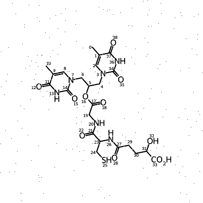 Cc1cn(CC(Cn2cc(C)c(=O)[nH]c2=O)OC(=O)CNC(=O)C(CS)NC(=O)CCC(O)C(=O)O)c(=O)[nH]c1=O